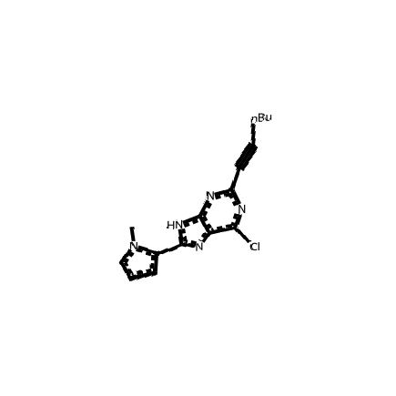 CCCCC#Cc1nc(Cl)c2nc(-c3cccn3C)[nH]c2n1